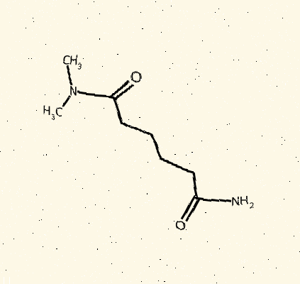 CN(C)C(=O)CCCCC(N)=O